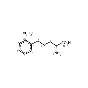 NC(CSCc1ccccc1C(=O)O)C(=O)O